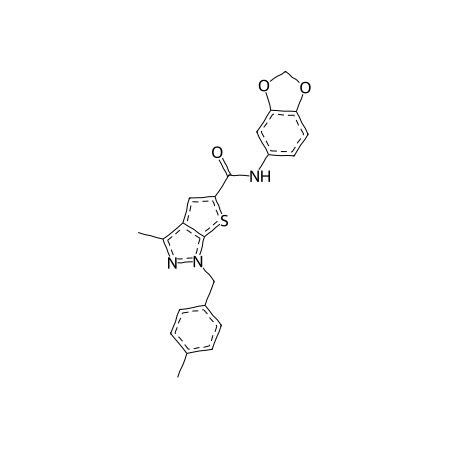 Cc1ccc(Cn2nc(C)c3cc(C(=O)Nc4ccc5c(c4)OCO5)sc32)cc1